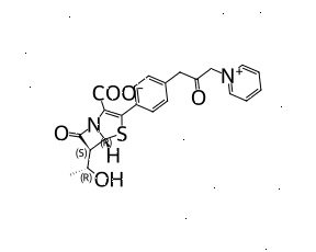 C[C@@H](O)[C@H]1C(=O)N2C(C(=O)[O-])=C(c3ccc(CC(=O)C[n+]4ccccc4)cc3)S[C@H]12